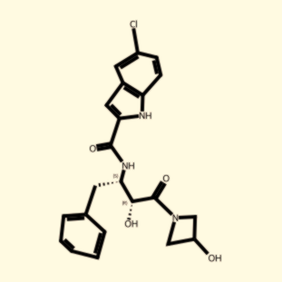 O=C(N[C@@H](Cc1ccccc1)[C@@H](O)C(=O)N1CC(O)C1)c1cc2cc(Cl)ccc2[nH]1